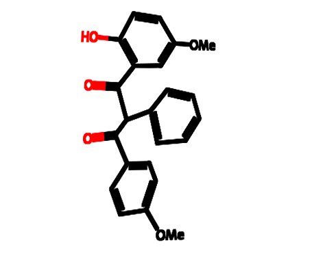 COc1ccc(C(=O)C(C(=O)c2cc(OC)ccc2O)c2ccccc2)cc1